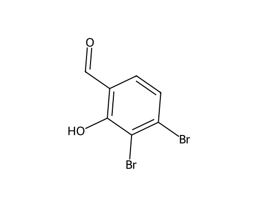 O=Cc1ccc(Br)c(Br)c1O